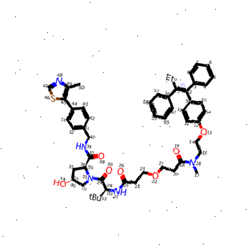 CC/C(=C(\c1ccccc1)c1ccc(OCCN(C)C(=O)CCOCCC(=O)N[C@H](C(=O)N2C[C@H](O)C[C@H]2C(=O)NCc2ccc(-c3scnc3C)cc2)C(C)(C)C)cc1)c1ccccc1